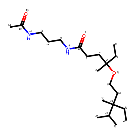 CCC(C)(CCC(=O)NCCCNC(C)=O)OCCC(C)(CC)C(C)C